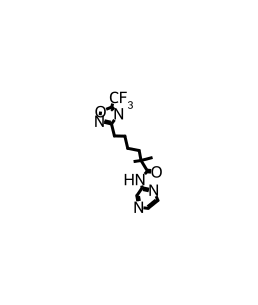 CC(C)(CCCCc1noc(C(F)(F)F)n1)C(=O)Nc1cnccn1